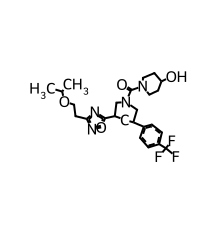 CC(C)OCCc1noc(C2CC(c3ccc(C(F)(F)F)cc3)CN(C(=O)N3CCC(O)CC3)C2)n1